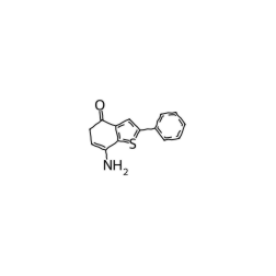 NC1=CCC(=O)c2cc(-c3ccccc3)sc21